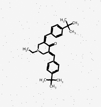 CCN1CC(=Cc2ccc(C(C)(C)C)cc2)C(=O)C(=Cc2ccc(C(C)(C)C)cc2)C1